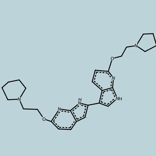 [c]1c(-c2c[nH]c3nc(OCCN4CCCC4)ccc23)[nH]c2nc(OCCN3CCCCC3)ccc12